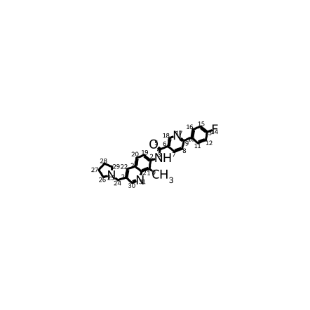 Cc1c(NC(=O)c2ccc(-c3ccc(F)cc3)nc2)ccc2cc(CN3CCCC3)cnc12